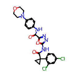 O=C(Nc1ccc(N2CCOCC2)cc1)c1nnc(NC(=O)C2(c3ccc(Cl)cc3Cl)CC2)o1